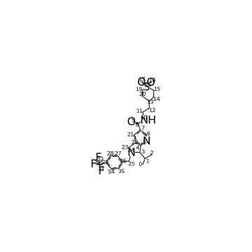 CC(C)C1c2ncc(C(=O)NCCC3CCS(=O)(=O)CC3)cc2CN1Cc1ccc(C(F)(F)F)cc1